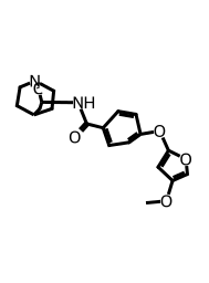 COc1coc(Oc2ccc(C(=O)NC3CC4CCN(CC4)C3)cc2)c1